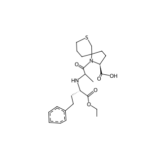 CCOC(=O)[C@H](CCc1ccccc1)NC(C)C(=O)N1[C@H](C(=O)O)CCC12CCCSC2